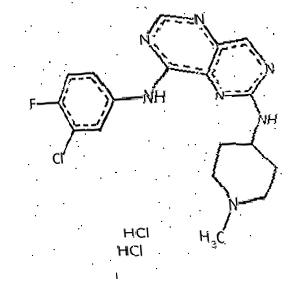 CN1CCC(Nc2ncc3ncnc(Nc4ccc(F)c(Cl)c4)c3n2)CC1.Cl.Cl